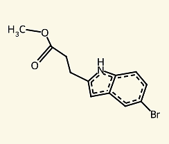 COC(=O)CCc1cc2cc(Br)ccc2[nH]1